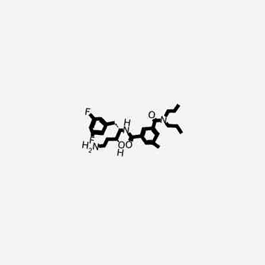 CCCN(CCC)C(=O)c1cc(C)cc(C(=O)N[C@@H](Cc2cc(F)cc(F)c2)[C@H](O)CCN)c1